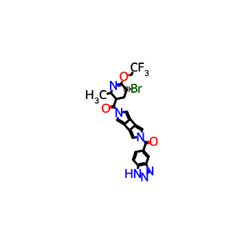 CC1N=C(OCC(F)(F)F)[C@H](Br)CC1C(=O)n1cc2c(c1)-c1cn(C(=O)c3ccc4[nH]nnc4c3)cc1-2